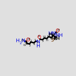 C[C@@H](CCCCNC(=O)CCCCC1SC[C@H]2NC(=O)N[C@@H]12)C(N)=O